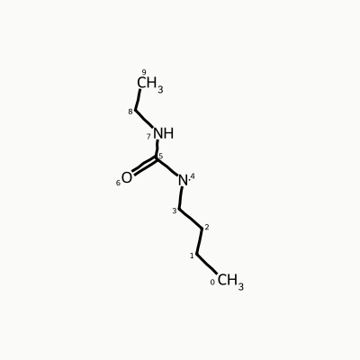 CCCC[N]C(=O)NCC